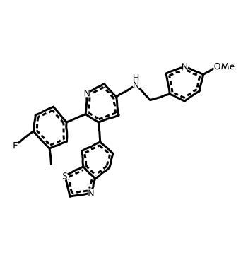 COc1ccc(CNc2cnc(-c3ccc(F)c(C)c3)c(-c3ccc4ncsc4c3)c2)cn1